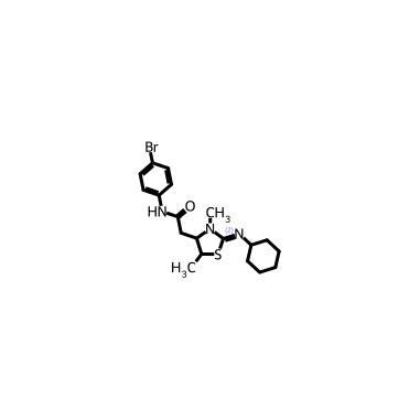 CC1S/C(=N\C2CCCCC2)N(C)C1CC(=O)Nc1ccc(Br)cc1